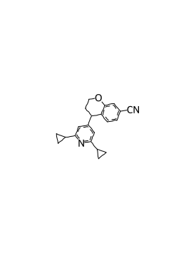 N#Cc1ccc2c(c1)OCCC2c1cc(C2CC2)nc(C2CC2)c1